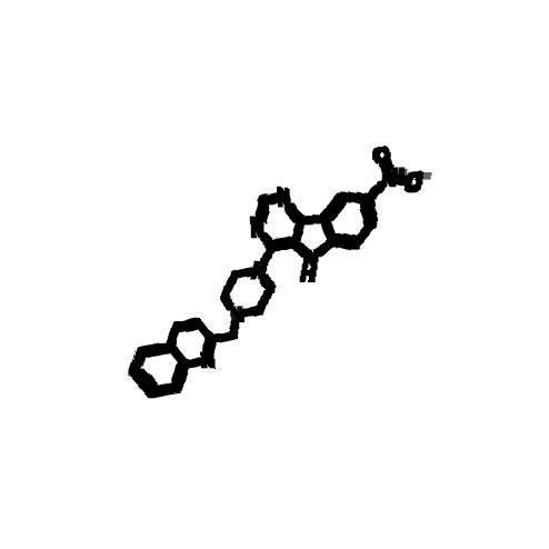 O=[N+]([O-])c1ccc2[nH]c3c(N4CCN(Cc5ccc6ccccc6n5)CC4)ncnc3c2c1